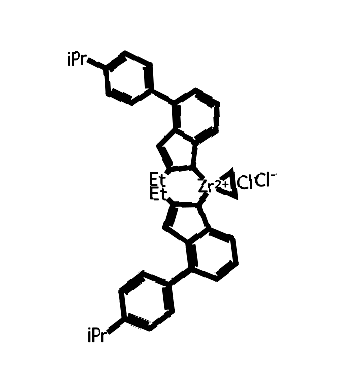 CCC1=Cc2c(-c3ccc(C(C)C)cc3)cccc2[CH]1[Zr+2]1([CH]2C(CC)=Cc3c(-c4ccc(C(C)C)cc4)cccc32)[CH2][CH2]1.[Cl-].[Cl-]